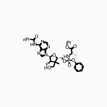 CCCC(=O)Nc1ncnc2c1ncn2[C@@H]1O[C@H](COP(=O)(N[C@@H](C)C(=O)OC(C)C)Oc2ccccc2)C(C)(CO)C1F